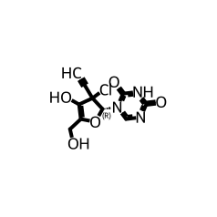 C#CC1(Cl)C(O)=C(CO)O[C@H]1n1cnc(=O)[nH]c1=O